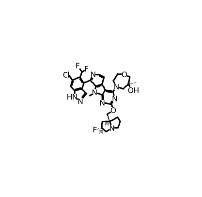 Cn1c2nc(OC[C@@]34CCCN3C[C@H](F)C4)nc(N3CCOC[C@@](C)(O)C3)c2c2ccnc(-c3c(C(F)F)c(Cl)cc4[nH]ncc34)c21